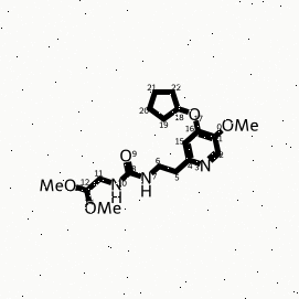 COc1cnc(CCNC(=O)NCC(OC)OC)cc1OC1CCCC1